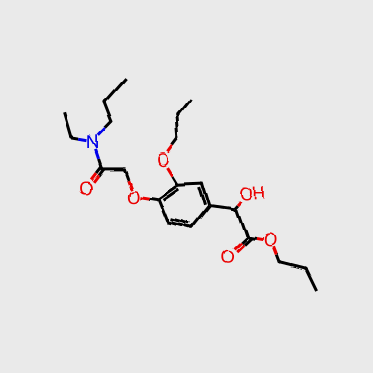 CCCOC(=O)C(O)c1ccc(OCC(=O)N(CC)CCC)c(OCCC)c1